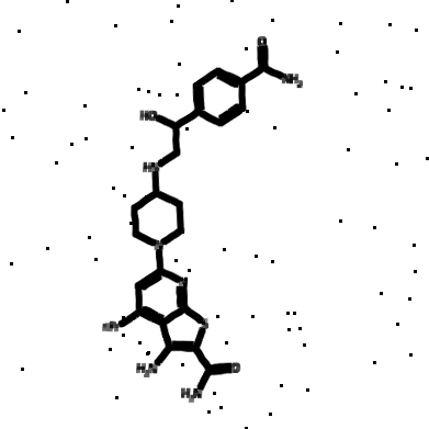 CCCc1cc(N2CCC(NCC(O)c3ccc(C(N)=O)cc3)CC2)nc2sc(C(N)=O)c(N)c12